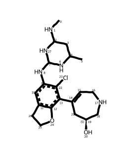 CNC1CC(C)NC(Nc2cc3c(c(C4=CCNC[C@@H](O)C4)c2Cl)OCC3)N1